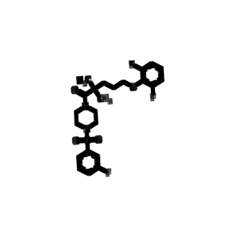 CC(C)(CCCOc1c(F)cccc1F)C(=O)N1CCN(S(=O)(=O)c2cccc(F)c2)CC1